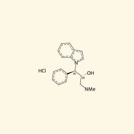 CNC[C@@H](O)[C@@H](c1ccccc1)n1ccc2ccccc21.Cl